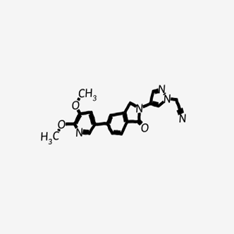 COc1cc(-c2ccc3c(c2)CN(c2cnn(CC#N)c2)C3=O)cnc1OC